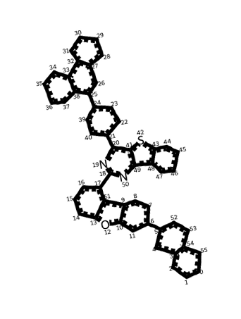 c1ccc2cc(-c3ccc4c(c3)oc3cccc(-c5nc(-c6ccc(-c7cc8ccccc8c8ccccc78)cc6)c6sc7ccccc7c6n5)c34)ccc2c1